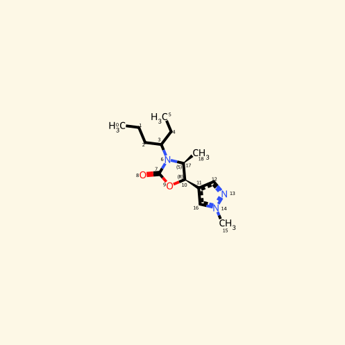 CCCC(CC)N1C(=O)O[C@H](c2cnn(C)c2)[C@@H]1C